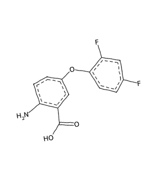 Nc1ccc(Oc2ccc(F)cc2F)cc1C(=O)O